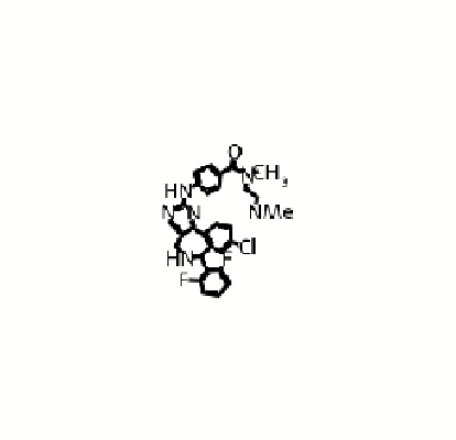 CNCCN(C)C(=O)c1ccc(Nc2ncc3c(n2)-c2ccc(Cl)cc2C(c2c(F)cccc2F)NC3)cc1